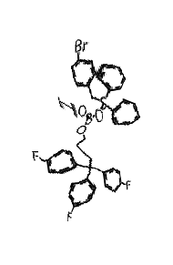 OB(OCCCC(c1ccc(F)cc1)(c1ccc(F)cc1)c1ccc(F)cc1)OS(Cc1ccc(Br)cc1)(c1ccccc1)c1ccccc1